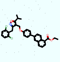 CCOC(=O)c1cccc2cc(-c3ccc(OCc4c(Cc5c(Cl)cccc5Cl)noc4C(C)C)cc3)ccc12